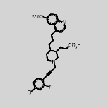 COc1ccc2nccc(CCCC3CCN(CC#Cc4ccc(Cl)cc4F)CC3CCC(=O)O)c2c1